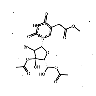 COC(=O)Cc1cn([C@@H]2O[C@H](C(O)OC(C)=O)[C@](O)(OC(C)=O)C2Br)c(=O)[nH]c1=O